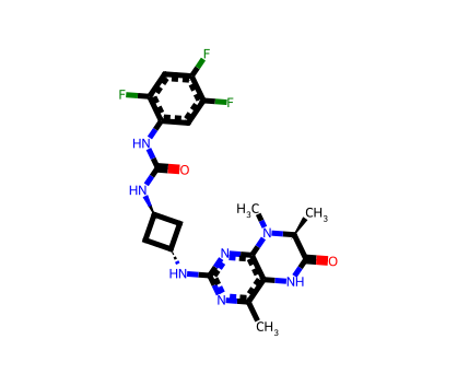 Cc1nc(N[C@H]2C[C@H](NC(=O)Nc3cc(F)c(F)cc3F)C2)nc2c1NC(=O)[C@H](C)N2C